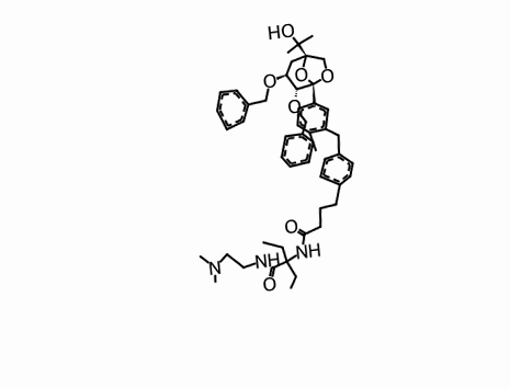 CCC(CC)(NC(=O)CCCc1ccc(Cc2cc([C@@]34OC[C@@](C(C)(C)O)(C[C@H](OCc5ccccc5)[C@H]3OCc3ccccc3)O4)ccc2C)cc1)C(=O)NCCN(C)C